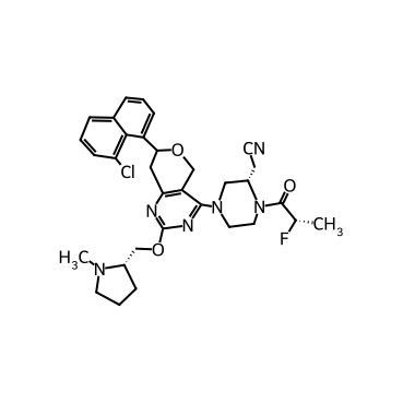 C[C@H](F)C(=O)N1CCN(c2nc(OC[C@@H]3CCCN3C)nc3c2COC(c2cccc4cccc(Cl)c24)C3)C[C@@H]1CC#N